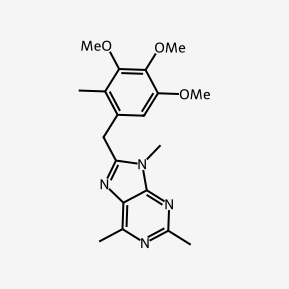 COc1cc(Cc2nc3c(C)nc(C)nc3n2C)c(C)c(OC)c1OC